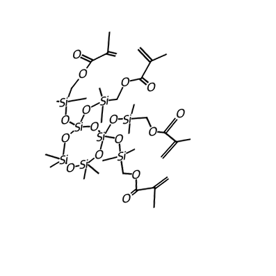 C=C(C)C(=O)OC[Si](C)(C)O[Si]1(O[Si](C)(C)COC(=O)C(=C)C)O[Si](C)(C)O[Si](C)(C)O[Si](O[Si](C)(C)COC(=O)C(=C)C)(O[Si](C)(C)COC(=O)C(=C)C)O1